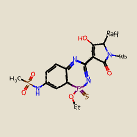 CCOP1(=S)N=C(C2=C(O)[CH]([RaH])[N]([Rb])C2=O)N=C2C=CC(NS(C)(=O)=O)=CC21